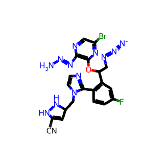 N#CC1=CC(Cn2ccnc2-c2ccc(F)cc2C(CN=[N+]=[N-])Oc2nc(Br)cnc2N=NN)NN1